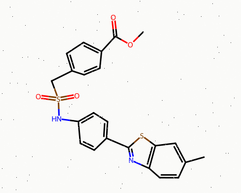 COC(=O)c1ccc(CS(=O)(=O)Nc2ccc(-c3nc4ccc(C)cc4s3)cc2)cc1